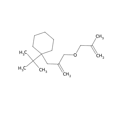 C=C(C)COCC(=C)CC1(C(C)(C)C)CCCCC1